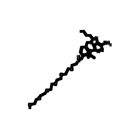 CCCCc1nc2c(N)nnc(OC(C)C)c2n1Cc1ccc(CNCCOCCOCCOCCOCCOCCOC)cc1